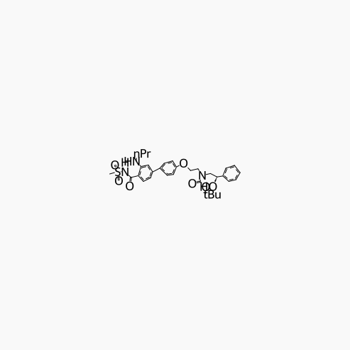 CCCNc1cc(-c2ccc(OCCN(C[C@H](O)c3ccccc3)C(=O)OC(C)(C)C)cc2)ccc1C(=O)NS(C)(=O)=O